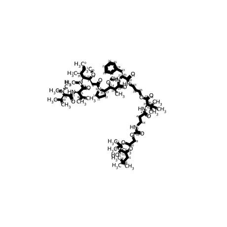 CC[C@@H](C)[C@H]([C@H](CC(=O)N1CCC[C@@H]1[C@@H](OC)[C@H](C)C(=O)N[C@H](Cc1ccccc1)C(=O)NCCCOC(=O)[C@H](NC(=O)CCNC(=O)OCC(OC(CO)CC(C)(C)C)OC(C)(C)C)C(C)(C)C)OC)N(C)C(=O)[C@H](NC(=O)[C@@H](C(C)C)N(C)C)C(C)C